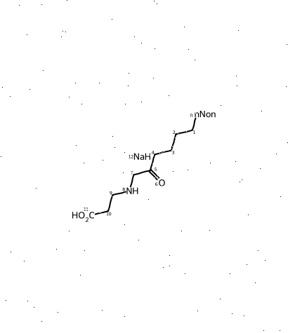 CCCCCCCCCCCCCC(=O)CNCCC(=O)O.[NaH]